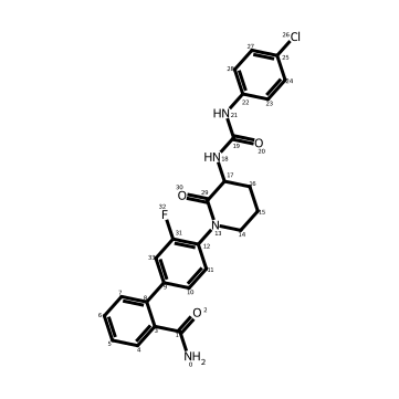 NC(=O)c1ccccc1-c1ccc(N2CCCC(NC(=O)Nc3ccc(Cl)cc3)C2=O)c(F)c1